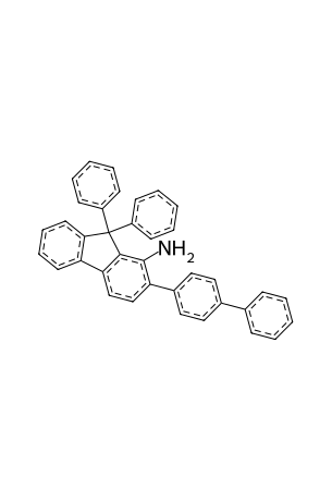 Nc1c(-c2ccc(-c3ccccc3)cc2)ccc2c1C(c1ccccc1)(c1ccccc1)c1ccccc1-2